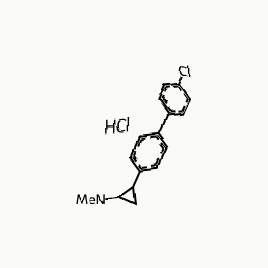 CNC1CC1c1ccc(-c2ccc(Cl)cc2)cc1.Cl